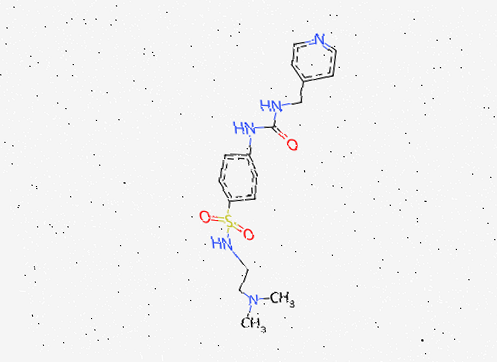 CN(C)CCNS(=O)(=O)c1ccc(NC(=O)NCc2ccncc2)cc1